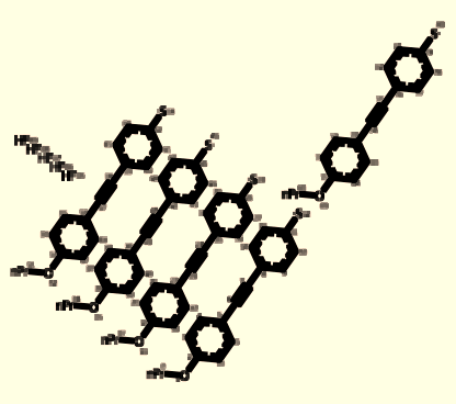 CCCOc1ccc(C#Cc2ccc([S])cc2)cc1.CCCOc1ccc(C#Cc2ccc([S])cc2)cc1.CCCOc1ccc(C#Cc2ccc([S])cc2)cc1.CCCOc1ccc(C#Cc2ccc([S])cc2)cc1.CCCOc1ccc(C#Cc2ccc([S])cc2)cc1.F.F.F.F.F